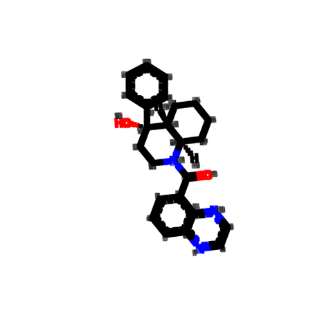 O=C(c1cccc2nccnc12)N1CC[C@@](O)(c2ccccc2)[C@@H]2CCCC[C@H]21